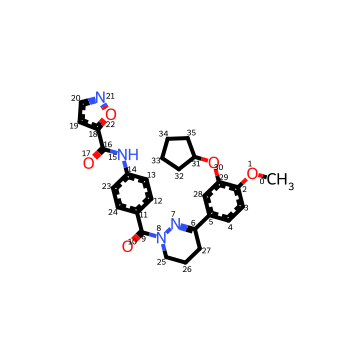 COc1ccc(C2=NN(C(=O)c3ccc(NC(=O)c4ccno4)cc3)CCC2)cc1OC1CCCC1